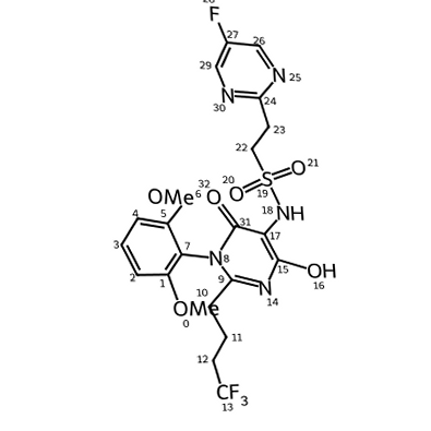 COc1cccc(OC)c1-n1c(CCCC(F)(F)F)nc(O)c(NS(=O)(=O)CCc2ncc(F)cn2)c1=O